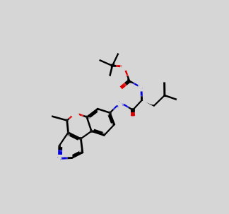 CC(C)C[C@H](NC(=O)OC(C)(C)C)C(=O)Nc1ccc2c(c1)OC(C)c1cnccc1-2